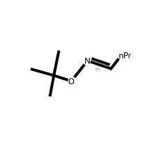 [CH2]CC/C=N/OC(C)(C)C